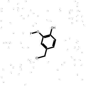 Oc1ccc(CCl)cc1OF